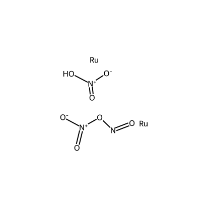 O=NO[N+](=O)[O-].O=[N+]([O-])O.[Ru].[Ru]